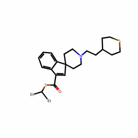 CCC(CC)SC(=O)C1=CC2(CCN(CCC3CCSCC3)CC2)c2ccccc21